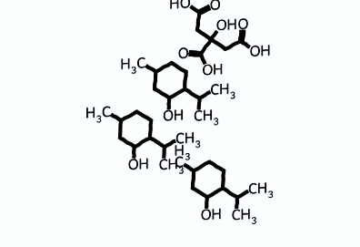 CC1CCC(C(C)C)C(O)C1.CC1CCC(C(C)C)C(O)C1.CC1CCC(C(C)C)C(O)C1.O=C(O)CC(O)(CC(=O)O)C(=O)O